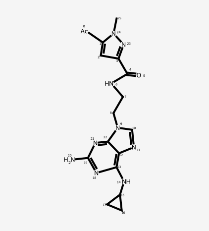 CC(=O)c1cc(C(=O)NCCn2cnc3c(NC4CC4)nc(N)nc32)nn1C